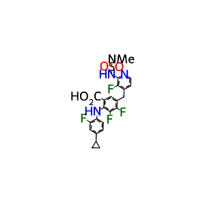 CNS(=O)(=O)Nc1nccc(Cc2cc(C(=O)O)c(Nc3ccc(C4CC4)cc3F)c(F)c2F)c1F